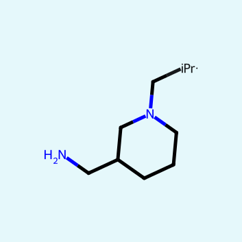 C[C](C)CN1CCCC(CN)C1